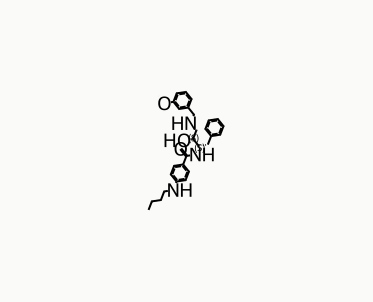 CCCCNc1ccc(C(=O)N[C@@H](Cc2ccccc2)[C@@H](O)CNCc2cccc(OC)c2)cc1